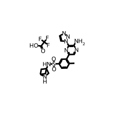 Cc1ccc(S(=O)(=O)NC23CNC(C2)C3)cc1-c1cnc(N)c(-n2ccnn2)n1.O=C(O)C(F)(F)F